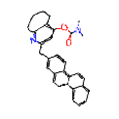 CN(C)C(=O)Oc1cc(Cc2ccc3c(ccc4c5ccccc5ccc34)c2)nc2c1CCCC2